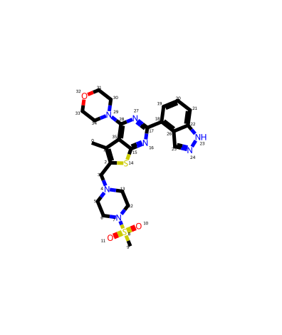 Cc1c(CN2CCN(S(C)(=O)=O)CC2)sc2nc(-c3cccc4[nH]ncc34)nc(N3CCOCC3)c12